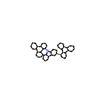 c1ccc2c(c1)c1ccccc1c1c(-c3ccc4c(c3)c3ccccc3n4-c3cccc4c5ccccc5c5ccccc5c34)cccc21